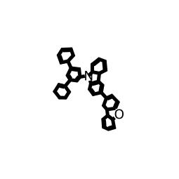 C1=CCC(c2cc(C3=CCCCC3)cc(N3c4ccc(C5=CC=C6OC7C=CC=CC7C6C5)cc4C4C=CC=CC43)c2)C=C1